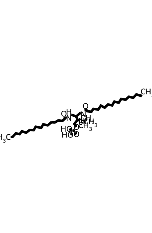 CCCCCCCCCCCCCCCCC(=O)NCC(CNC(=O)CCCCCCCCCCCCCCCC)C(COP(=O)(O)O)[N+](C)(C)C